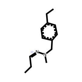 CC/C=N\N(C)Cc1ccc(CC)cc1